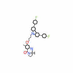 Cc1cc2c(cc1OCCCCn1c3ccc(-c4ccc(F)cc4)cc3c3cc(-c4ccc(F)cc4)ccc31)N=C[C@@H]1CCCN1C2=O